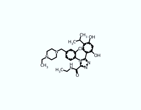 CCNC(=O)c1nnc(-c2cc(C(C)C)c(O)cc2O)n1-c1ccc(CN2CCN(CC)CC2)cc1Cl